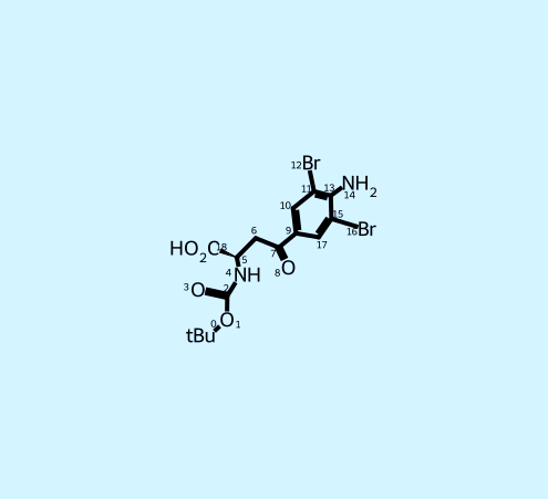 CC(C)(C)OC(=O)N[C@H](CC(=O)c1cc(Br)c(N)c(Br)c1)C(=O)O